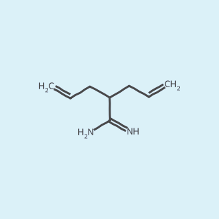 C=CCC(CC=C)C(=N)N